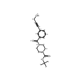 CC(C)(C)OC(=O)N1CCN(C(=O)c2cccc(C#CCO)c2)CC1